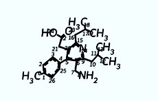 Cc1ccc(-c2c(CN)c(CC(C)C)nc(CC(C)C)c2CC(=O)O)cc1